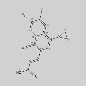 O=C(O)C=Cc1cn(C2CC2)c2cc(F)c(F)cc2c1=O